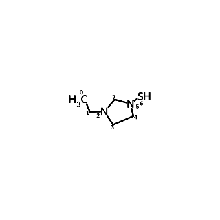 CCN1CCN(S)C1